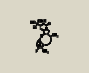 CC[C@@](O)(C(=O)O)c1cc2n(c(=O)c1)CC1/C2=N\C2C3C=C(F)C(C)=C(CCCC1C)[C@H]32